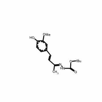 COc1cc(C=CC(C)=NNC(=O)OC(C)(C)C)ccc1O